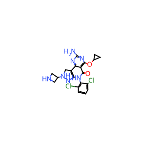 Nc1nc(OC2CC2)c(C(=O)Nc2c(Cl)cccc2Cl)c(C2=CNN(C3CNC3)C2)n1